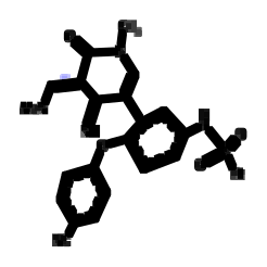 CCS(=O)(=O)Nc1ccc(Oc2ccc(C#N)cc2)c(C2=CN(C)C(=O)/C(=C/NC)C2=N)c1